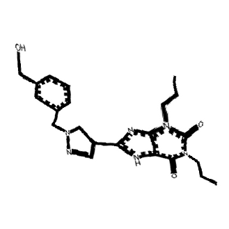 CCCn1c(=O)c2[nH]c(C3C=NN(Cc4cccc(CO)c4)C3)nc2n(CCC)c1=O